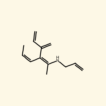 C=CCN/C(C)=C(/C=C\C)C(=C)C=C